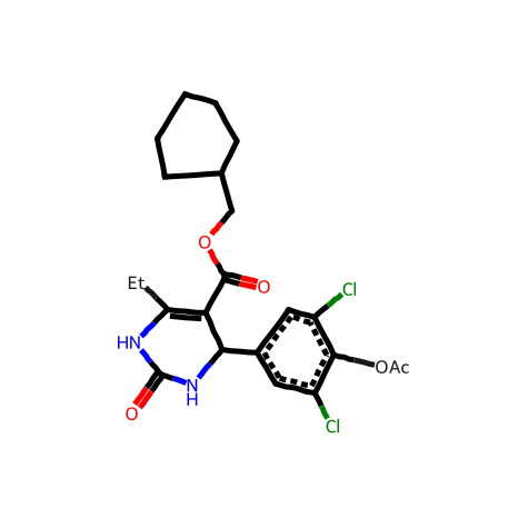 CCC1=C(C(=O)OCC2CCCCC2)C(c2cc(Cl)c(OC(C)=O)c(Cl)c2)NC(=O)N1